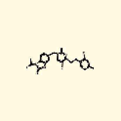 CC(=O)n1c(=O)[nH]c2cc(Cn3cc(Cl)c(OCc4ccc(F)cc4F)nc3=O)ccc21